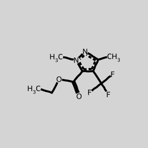 CCOC(=O)c1c(C(F)(F)F)c(C)nn1C